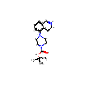 CC(C)(C)OC(=O)N1CCN(c2cccc3c2CCN=C3)CC1